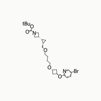 CC(C)(C)OC(=O)N1CC([C@@H]2C[C@H]2COCCCCO[C@H]2C[C@H](Oc3ccc(Br)cn3)C2)C1